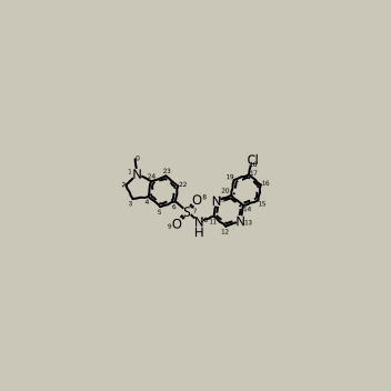 CN1CCc2cc(S(=O)(=O)Nc3cnc4ccc(Cl)cc4n3)ccc21